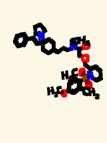 COc1cc(C)c(S(=O)(=O)N2CCCCC2COCC(=O)N(C)CCCC2CCC(CCc3ccccc3)(N3CCCC3)CC2)c(C)c1